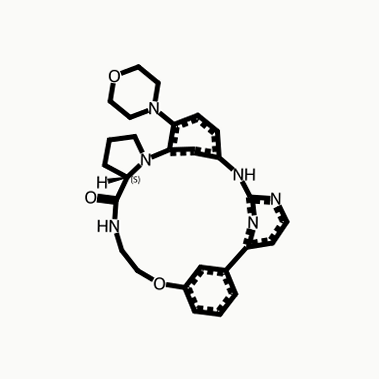 O=C1NCCOc2cccc(c2)-c2ccnc(n2)Nc2ccc(N3CCOCC3)c(c2)N2CCC[C@@H]12